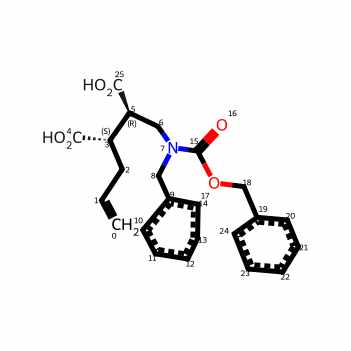 C=CC[C@H](C(=O)O)[C@H](CN(Cc1ccccc1)C(=O)OCc1ccccc1)C(=O)O